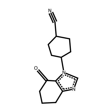 N#CC1CCC(n2cnc3c2C(=O)CCC3)CC1